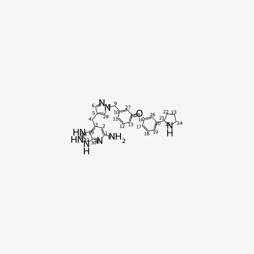 Nc1cc(Cc2cnn(Cc3cccc(Oc4cccc(C5CCCN5)c4)c3)c2)c2c(n1)NNN2